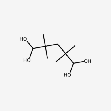 CC(C)(CC(C)(C)C(O)O)C(O)O